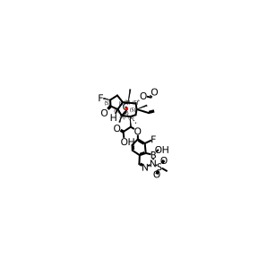 C=C[C@]1(C)C[C@@H](C(Oc2ccc3c(c2F)B(O)N(S(C)(=O)=O)N=C3)C(=O)O)[C@@]2(C)[C@H](C)CC[C@]3(C[C@H](F)C(=O)[C@H]32)[C@@H](C)[C@@H]1OC=O